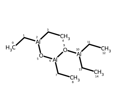 C[CH2][Al]([CH2]C)[O][Al]([CH2]C)[O][Al]([CH2]C)[CH2]C